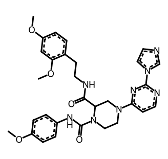 COc1ccc(NC(=O)N2CCN(c3ccnc(-n4ccnc4)n3)CC2C(=O)NCCc2ccc(OC)cc2OC)cc1